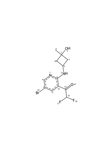 CC1(O)CC(Nc2ncc(Br)cc2C(=O)C(F)F)C1